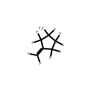 FC(F)=C1C(F)(F)C(F)(F)C(F)(C(F)(F)F)C1(F)F